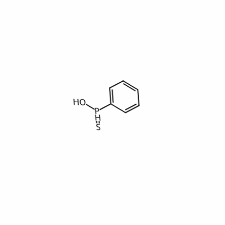 O[PH](=S)c1ccccc1